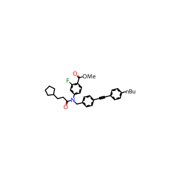 CCCCc1ccc(C#Cc2ccc(CN(C(=O)CCC3CCCC3)c3ccc(C(=O)OC)c(F)c3)cc2)cc1